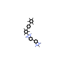 Cc1cc(C)c(-c2ccc(-c3c(C)cc(C)c(C4N(C)c5ccc(-c6ccc7c(c6)N(C)[C@H](C)N7C)cc5N4C)c3C)cc2)c(C)c1C